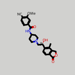 COc1cc(C(=O)NC2CCN(C[C@H](O)c3ccc4c(c3C)COC4=O)CC2)ccc1C#N